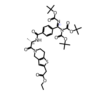 CCOC(=O)Cc1cc2c(s1)CCN(C(=O)[C@H](C)NC(=O)c1ccc(/C(=N\C(=O)OC(C)(C)C)N(C(=O)OC(C)(C)C)C(=O)OC(C)(C)C)cc1)C2